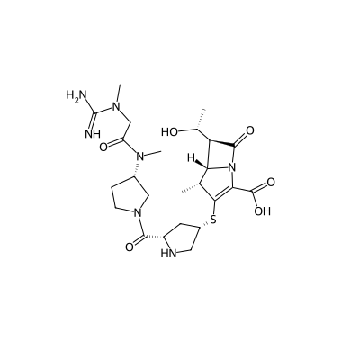 C[C@@H](O)[C@H]1C(=O)N2C(C(=O)O)=C(S[C@@H]3CN[C@H](C(=O)N4CC[C@H](N(C)C(=O)CN(C)C(=N)N)C4)C3)[C@H](C)[C@H]12